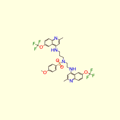 COc1ccc(S(=O)(=O)N(CCCNc2cc(C)nc3ccc(OC(F)(F)F)cc23)CCNc2cc(C)nc3ccc(OC(F)(F)F)cc23)cc1